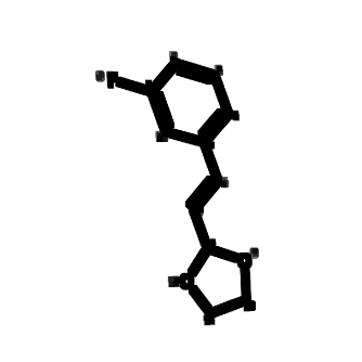 Fc1cccc(C=CC2OCCO2)c1